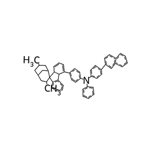 CC1CC2CC(C)C3(c4ccccc4C4C(c5ccc(N(c6ccccc6)c6ccc(-c7ccc8ccccc8c7)cc6)cc5)=CC=CC43)C(C1)C2